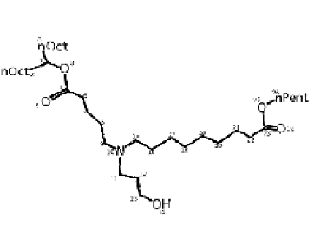 CCCCCCCCC(CCCCCCCC)OC(=O)CCCCN(CCCO)CCCCCCCCC(=O)OCCCCC